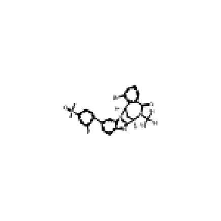 [2H]C([2H])([2H])N1C(=O)c2cccc(Br)c2[C@H]2C[C@@H]1c1nc3ccc(-c4ccc(P(C)(C)=O)cc4F)cc3n12